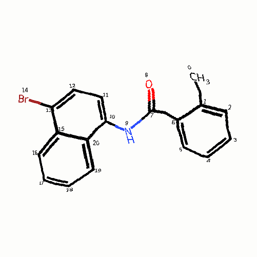 Cc1ccccc1C(=O)Nc1ccc(Br)c2ccccc12